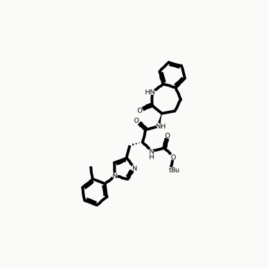 Cc1ccccc1-n1cnc(C[C@@H](NC(=O)OC(C)(C)C)C(=O)N[C@@H]2CCc3ccccc3NC2=O)c1